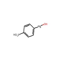 O=S(=O)(O)c1cc[c]([Hg][OH])cc1